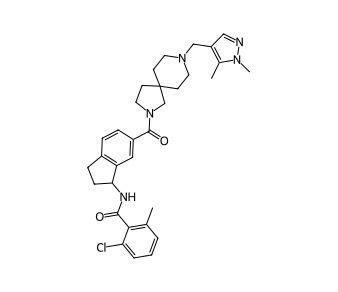 Cc1cccc(Cl)c1C(=O)NC1CCc2ccc(C(=O)N3CCC4(CCN(Cc5cnn(C)c5C)CC4)C3)cc21